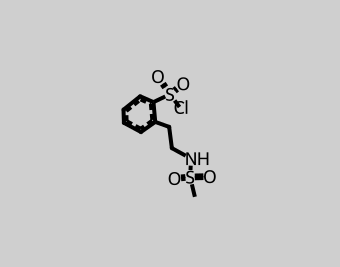 CS(=O)(=O)NCCc1ccccc1S(=O)(=O)Cl